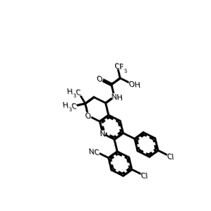 CC1(C)CC(NC(=O)C(O)C(F)(F)F)c2cc(-c3ccc(Cl)cc3)c(-c3cc(Cl)ccc3C#N)nc2O1